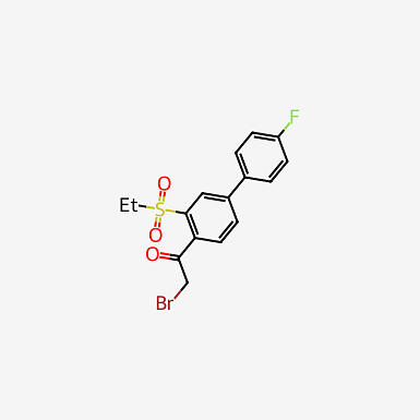 CCS(=O)(=O)c1cc(-c2ccc(F)cc2)ccc1C(=O)CBr